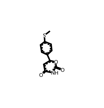 CSc1ccc(-c2cc(=O)[nH]c(=O)o2)cc1